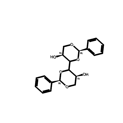 O[C@H]1CO[C@@H](c2ccccc2)OC1C1O[C@H](c2ccccc2)OC[C@@H]1O